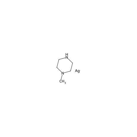 CN1CCNCC1.[Ag]